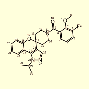 COc1c(F)cccc1C(=O)N1CCC2(CC1)Oc1ccccc1-c1c2cnn1C(C)C